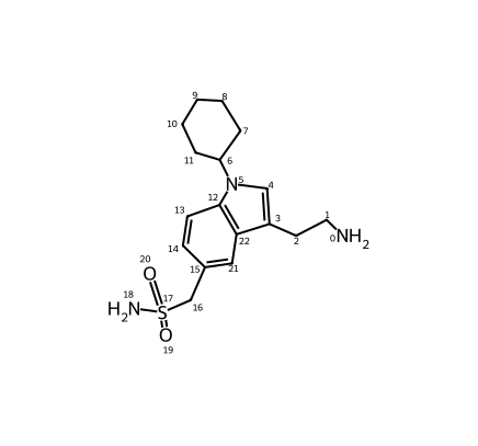 NCCc1cn(C2CCCCC2)c2ccc(CS(N)(=O)=O)cc12